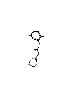 Cc1ccc(C)c(NC(=O)CC2=NCCS2)c1